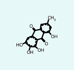 Cc1cc(O)c2c(c1)C(=O)c1cc(O)c(O)c(O)c1C2=O